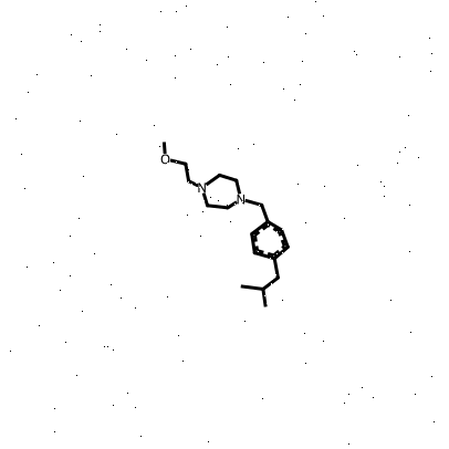 COCCN1CCN(Cc2ccc(CC(C)C)cc2)CC1